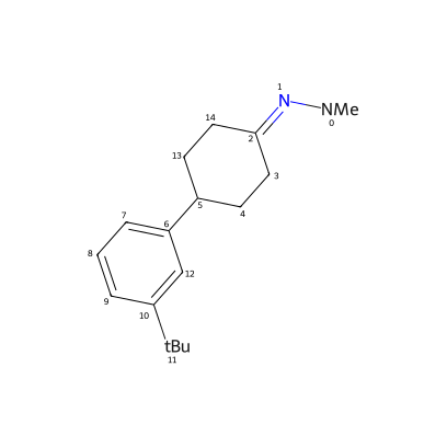 CNN=C1CCC(c2cccc(C(C)(C)C)c2)CC1